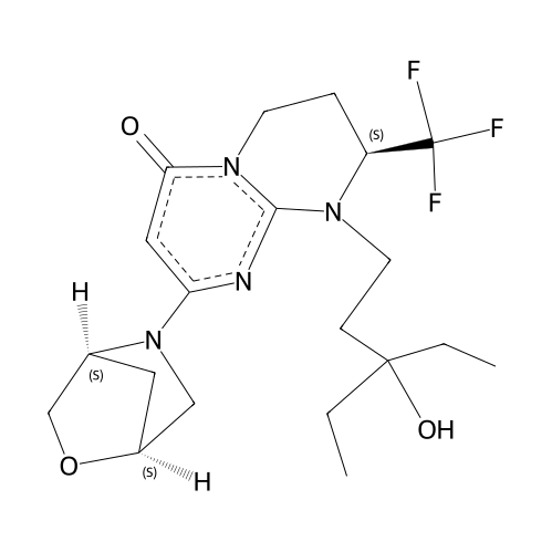 CCC(O)(CC)CCN1c2nc(N3C[C@@H]4C[C@H]3CO4)cc(=O)n2CC[C@H]1C(F)(F)F